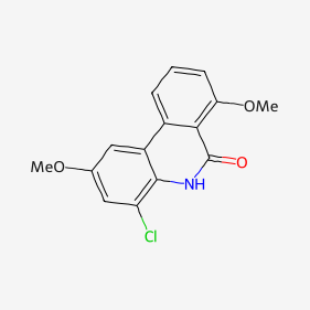 COc1cc(Cl)c2[nH]c(=O)c3c(OC)cccc3c2c1